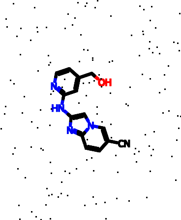 N#Cc1ccc2nc(Nc3cc(CO)ccn3)cn2c1